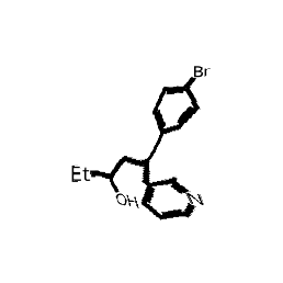 CCC(O)CC(c1ccc(Br)cc1)c1cccnc1